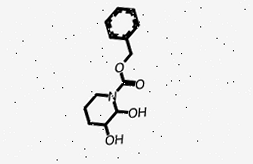 O=C(OCc1ccccc1)N1CCCC(O)C1O